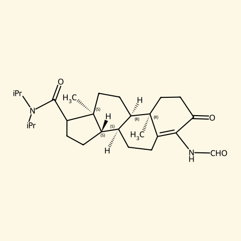 CC(C)N(C(=O)C1CC[C@H]2[C@@H]3CCC4=C(NC=O)C(=O)CC[C@]4(C)[C@@H]3CC[C@]12C)C(C)C